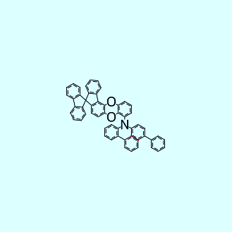 c1ccc(-c2ccc(N(c3ccccc3-c3ccccc3)c3cccc4c3Oc3ccc5c(c3O4)-c3ccccc3C53c4ccccc4-c4ccccc43)cc2)cc1